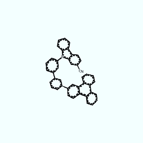 N#Cc1ccc2c3ccccc3n(-c3cccc(-c4cccc(-c5ccc6c7ccccc7c7ccccc7c6c5)c4)c3)c2c1